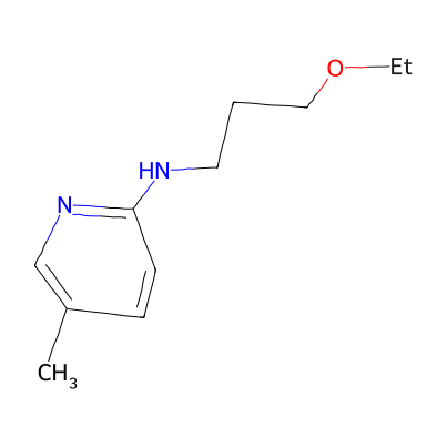 CCOCCCNc1ccc(C)cn1